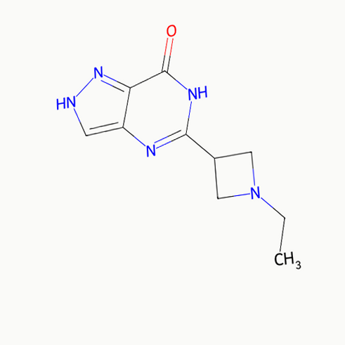 CCN1CC(c2nc3c[nH]nc3c(=O)[nH]2)C1